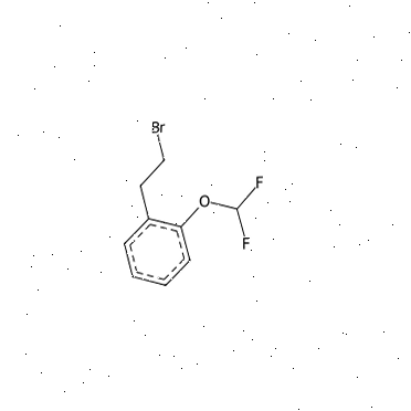 FC(F)Oc1ccccc1CCBr